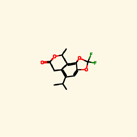 CC(C)c1cc2c(c3c1CC(=O)OC3C)OC(F)(F)O2